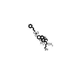 CC(C)CCC[C@@H](C)[C@H]1CC[C@H]2[C@@H]3CC=C4C[C@@H](OC(=O)OC/C=C/c5ccccc5)CC[C@]4(C)[C@H]3CC[C@]12C